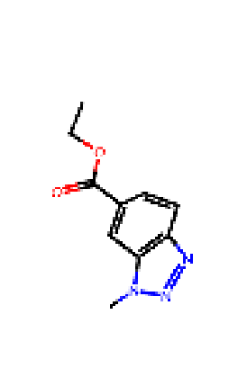 CCOC(=O)c1ccc2nnn(C)c2c1